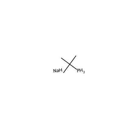 CC(C)(C)P.[NaH]